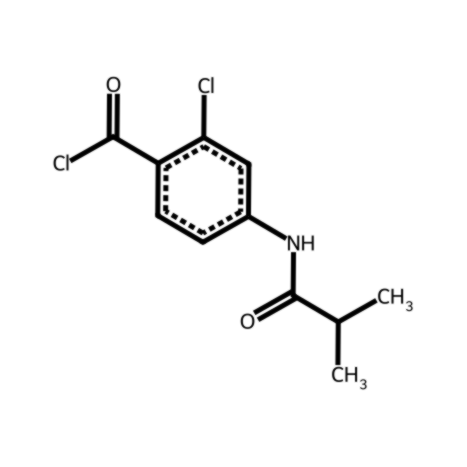 CC(C)C(=O)Nc1ccc(C(=O)Cl)c(Cl)c1